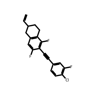 C=CC1CCc2c(cc(F)c(C#Cc3ccc(Cl)c(F)c3)c2F)C1